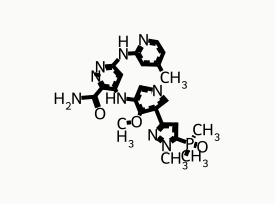 COc1c(Nc2cc(Nc3cc(C)ccn3)nnc2C(N)=O)cncc1-c1cc(P(C)(C)=O)n(C)n1